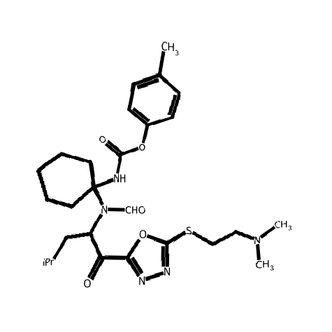 Cc1ccc(OC(=O)NC2(N(C=O)C(CC(C)C)C(=O)c3nnc(SCCN(C)C)o3)CCCCC2)cc1